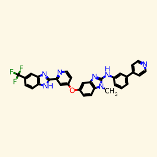 Cn1c(Nc2cccc(-c3ccncc3)c2)nc2cc(Oc3ccnc(-c4nc5cc(C(F)(F)F)ccc5[nH]4)c3)ccc21